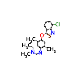 CCN(C)/C=N\c1cc(C)c(Oc2snc3c(Cl)cccc23)cc1C